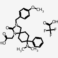 COc1ccc(CN2CC3(CCC(c4ccccc4)(N(C)C)CC3)N(CC(=O)O)C2=O)cc1.O=C(O)C(F)(F)F